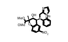 COC(OC)[C@@]1(C)Oc2ccc([N+](=O)[O-])cc2[C@H](N(Cc2ncc[nH]2)c2ccccc2C(C)C)[C@H]1O